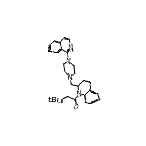 CC(C)(C)CC(=O)N1c2ccccc2CCC1CN1CCN(c2nccc3ccccc23)CC1